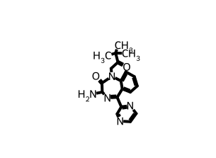 CC(C)(C)C(=O)CN1C(=O)C(N)N=C(c2cnccn2)c2ccccc21